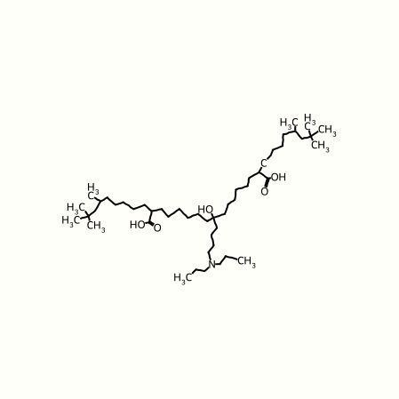 CCCN(CCC)CCCCC(O)(CCCCCCC(CCCCCC(C)CC(C)(C)C)C(=O)O)CCCCCCC(CCCCCC(C)CC(C)(C)C)C(=O)O